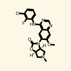 COc1cc2ncnc(Nc3cccc(Cl)c3F)c2cc1N1C(=O)O[C@@H]2CN(C)C[C@@H]21